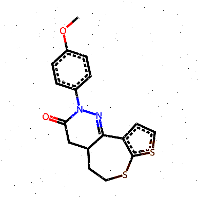 COc1ccc(N2N=C3c4ccsc4SCCC3CC2=O)cc1